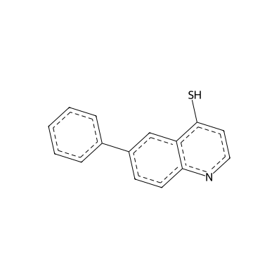 Sc1ccnc2ccc(-c3ccccc3)cc12